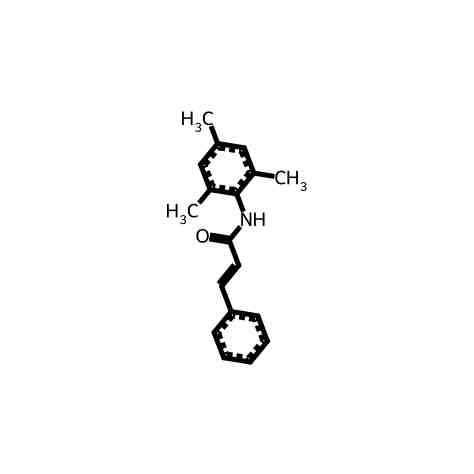 Cc1cc(C)c(NC(=O)/C=C/c2ccccc2)c(C)c1